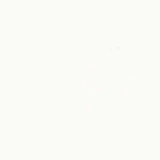 C=CC(=O)O.C=CC(=O)O.C=CC(=O)O.CCCCCCC[CH2][SnH]